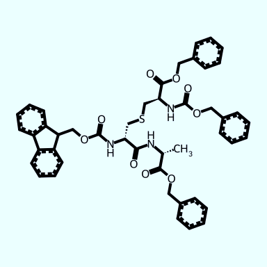 C[C@@H](NC(=O)[C@@H](CSC[C@H](NC(=O)OCc1ccccc1)C(=O)OCc1ccccc1)NC(=O)OCC1c2ccccc2-c2ccccc21)C(=O)OCc1ccccc1